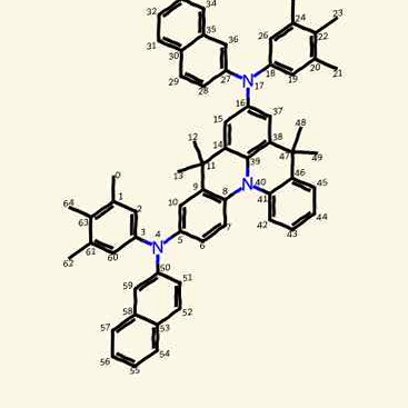 Cc1cc(N(c2ccc3c(c2)C(C)(C)c2cc(N(c4cc(C)c(C)c(C)c4)c4ccc5ccccc5c4)cc4c2N3c2ccccc2C4(C)C)c2ccc3ccccc3c2)cc(C)c1C